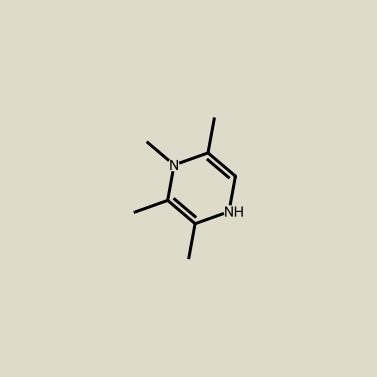 CC1=CNC(C)=C(C)N1C